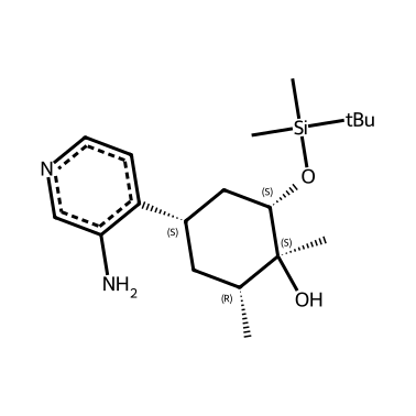 C[C@@H]1C[C@H](c2ccncc2N)C[C@H](O[Si](C)(C)C(C)(C)C)[C@@]1(C)O